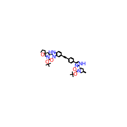 C=C1C[C@@H](c2nc(-c3ccc(C#Cc4ccc5[nH]c([C@@H]6C[C@@]7(CCCO7)CN6C(=O)OC(C)(C)C)nc5c4)cc3)c[nH]2)N(C(=O)OC(C)(C)C)C1